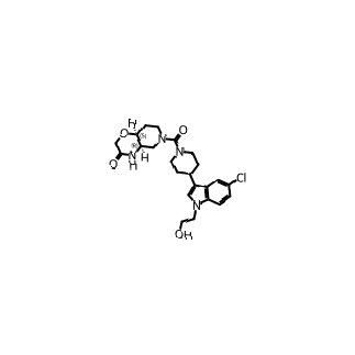 O=C1CO[C@H]2CCN(C(=O)N3CCC(c4cn(CCO)c5ccc(Cl)cc45)CC3)C[C@H]2N1